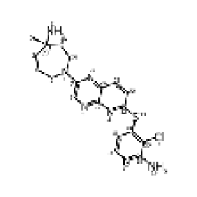 C[C@]1(N)CCCN(c2cnc3nc(Sc4ccnc(N)c4Cl)ccc3n2)CC1